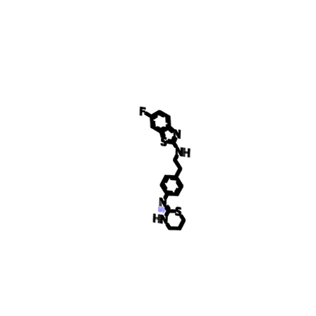 Fc1ccc2nc(NCCc3ccc(/N=C4/NCCCS4)cc3)sc2c1